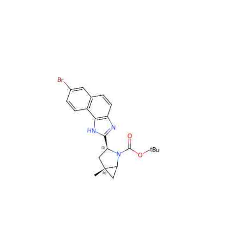 CC(C)(C)OC(=O)N1C2C[C@]2(C)C[C@H]1c1nc2ccc3cc(Br)ccc3c2[nH]1